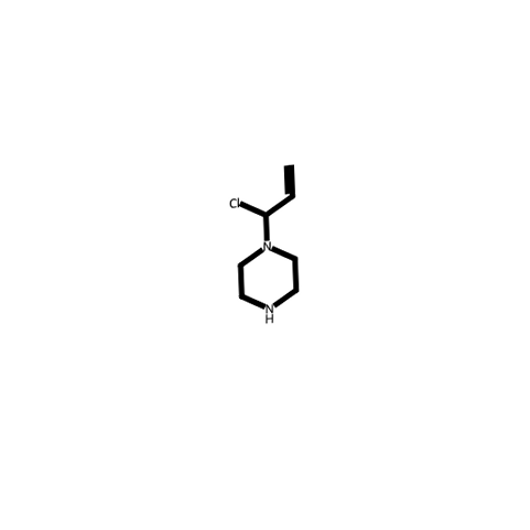 C=CC(Cl)N1CCNCC1